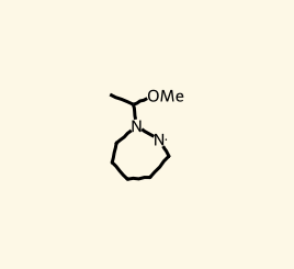 COC(C)N1CCCCC[N]1